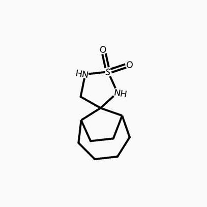 O=S1(=O)NCC2(N1)C1CCCCC2CC1